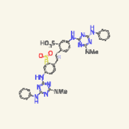 CNc1nc(Nc2ccccc2)nc(Nc2ccc(/C=C/c3ccc(Nc4nc(NC)nc(Nc5ccccc5)n4)cc3S(=O)(=O)O)c([SH](=O)=O)c2)n1